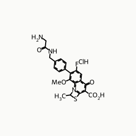 COc1c(-c2ccc(CNC(=O)CN)cc2)c(F)cc2c(=O)c(C(=O)O)c3n(c12)C(C)S3.Cl